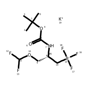 CC(C)(C)OC(=O)N[C@@H](COC(F)F)C[B-](F)(F)F.[K+]